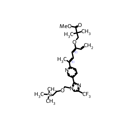 C=C/C(=C\C=C(/C)c1ccc(-c2nc(C(F)(F)F)cn2COCC[Si](C)(C)C)cn1)OCC(C)(C)C(=O)OC